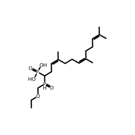 CCOC[PH](=O)C(CC=C(C)CCC=C(C)CCC=C(C)C)P(=O)(O)O